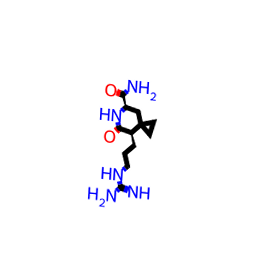 N=C(N)NCCC[C@H]1C(=O)N[C@@H](C(N)=O)CC12CC2